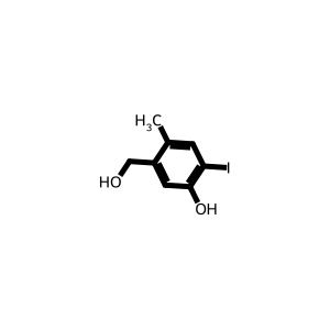 Cc1cc(I)c(O)cc1CO